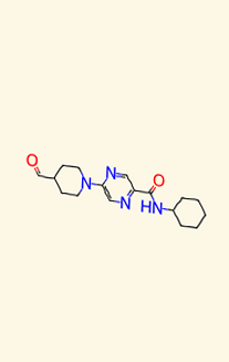 O=CC1CCN(c2cnc(C(=O)NC3CCCCC3)cn2)CC1